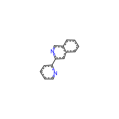 c1ccc(-c2cc3ccccc3cn2)nc1